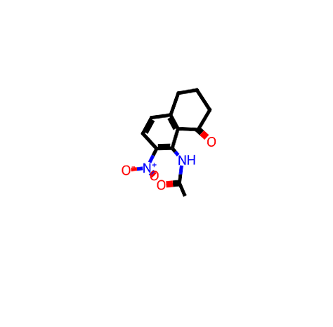 CC(=O)Nc1c([N+](=O)[O-])ccc2c1C(=O)CCC2